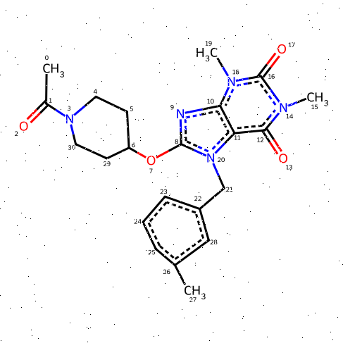 CC(=O)N1CCC(Oc2nc3c(c(=O)n(C)c(=O)n3C)n2Cc2cccc(C)c2)CC1